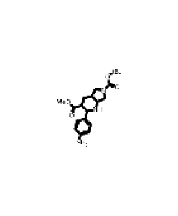 COC(=O)C1CC2CN(C(=O)OC(C)(C)C)CC2NC1c1ccc(N)cc1